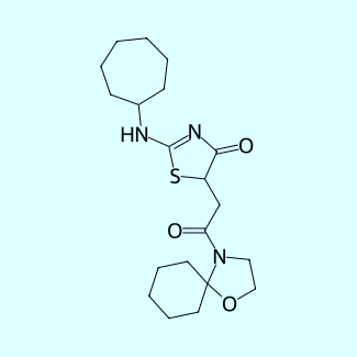 O=C1N=C(NC2CCCCCC2)SC1CC(=O)N1CCOC12CCCCC2